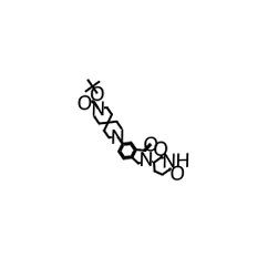 CC(C)(C)OC(=O)N1CCC2(CC1)CCN(c1ccc3c(c1)C(=O)N([C@@H]1CCC(=O)NC1=O)C3)CC2